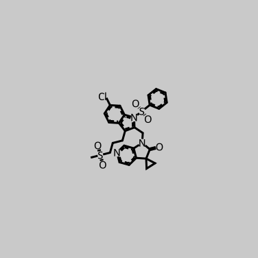 CS(=O)(=O)CCCc1c(CN2C(=O)C3(CC3)c3ccncc32)n(S(=O)(=O)c2ccccc2)c2cc(Cl)ccc12